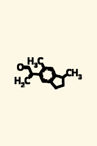 C=C(C=O)c1cc2c(cc1C)C(C)CC2